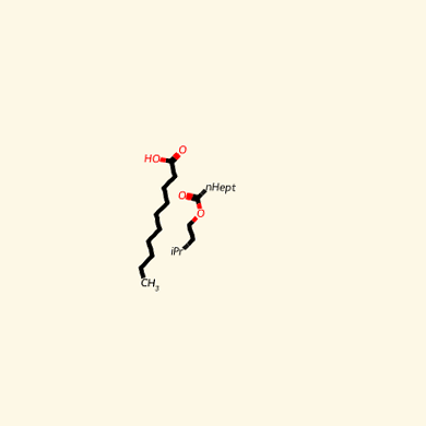 CCCCCCCC(=O)OCCC(C)C.CCCCCCCCCC(=O)O